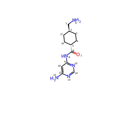 NC[C@H]1CC[C@H](C(=O)Nc2cc(N)ncn2)CC1